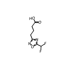 O=C(O)CCCc1noc(C(F)F)n1